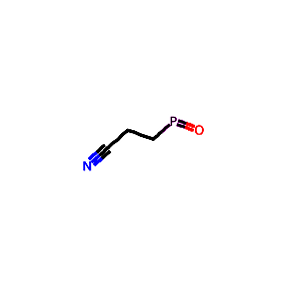 N#CCCP=O